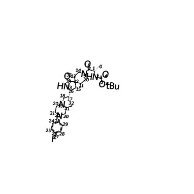 C[C@H](NC(=O)OC(C)(C)C)C(=O)N1CCC2(CC1)C[C@H](CCN1CCN(c3ccc(F)cc3)C[C@@H]1C)NC2=O